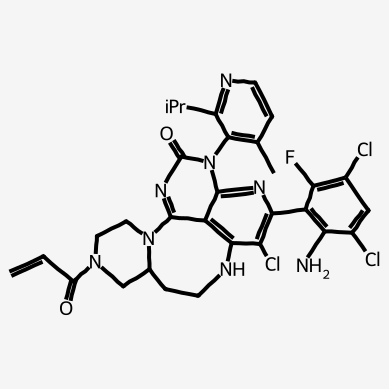 C=CC(=O)N1CCN2c3nc(=O)n(-c4c(C)ccnc4C(C)C)c4nc(-c5c(N)c(Cl)cc(Cl)c5F)c(Cl)c(c34)NCCC2C1